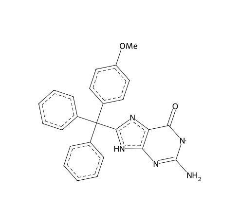 COc1ccc(C(c2ccccc2)(c2ccccc2)c2nc3c([nH]2)N=C(N)[N]C3=O)cc1